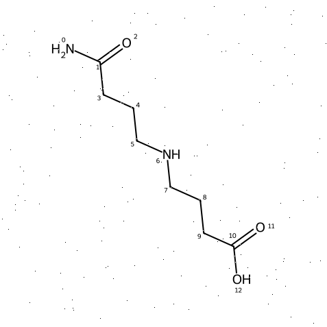 NC(=O)CCCNCCCC(=O)O